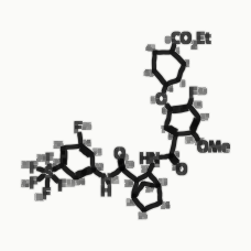 CCOC(=O)C1CCC(Oc2cc(C(=O)NC3C4CCC(C4)C3C(=O)Nc3cc(F)cc(S(F)(F)(F)(F)F)c3)c(OC)cc2F)CC1